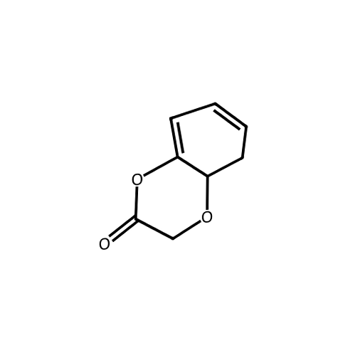 O=C1COC2CC=CC=C2O1